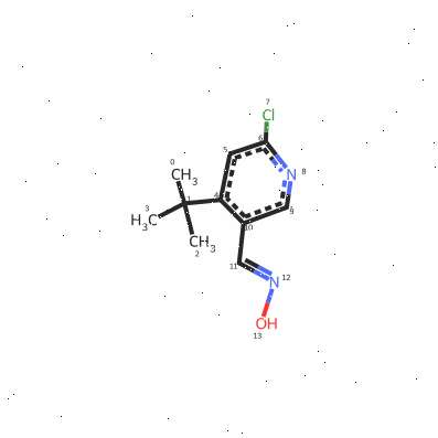 CC(C)(C)c1cc(Cl)n[c]c1C=NO